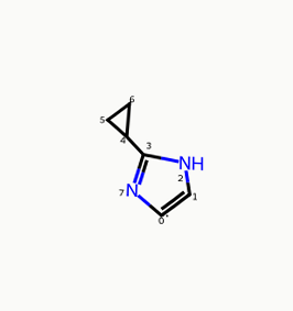 [c]1c[nH]c(C2CC2)n1